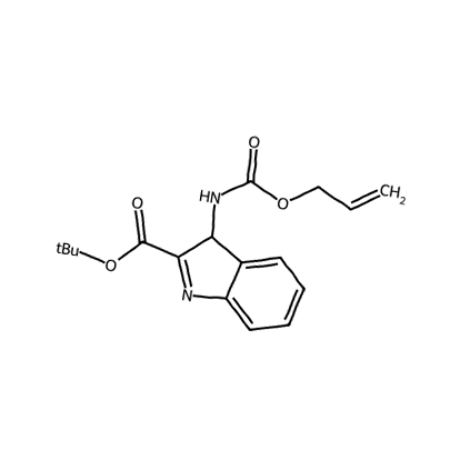 C=CCOC(=O)NC1C(C(=O)OC(C)(C)C)=Nc2ccccc21